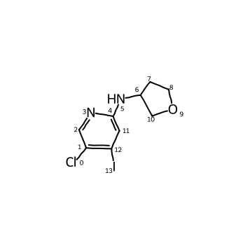 Clc1cnc(NC2CCOC2)cc1I